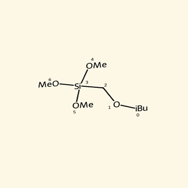 CCC(C)OC[Si](OC)(OC)OC